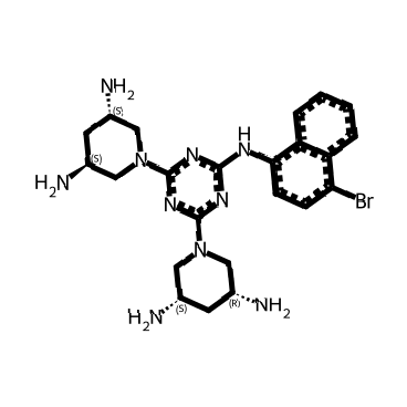 N[C@@H]1C[C@H](N)CN(c2nc(Nc3ccc(Br)c4ccccc34)nc(N3C[C@@H](N)C[C@H](N)C3)n2)C1